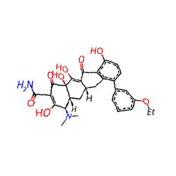 CCOc1cccc(-c2ccc(O)c3c2C[C@@H]2C[C@@H]4[C@@H](N(C)C)C(O)=C(C(N)=O)C(=O)[C@]4(O)C(O)=C2C3=O)c1